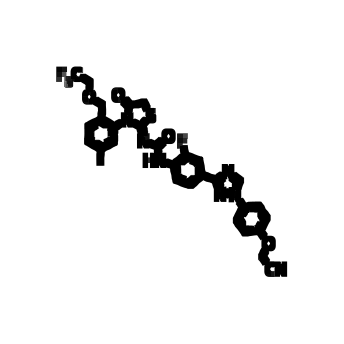 Cc1ccc(COCC(F)(F)F)c(N2C(=O)CS/C2=N\C(=O)Nc2ccc(-c3ncn(-c4ccc(OCC#N)cc4)n3)cc2F)c1